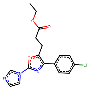 CCOC(=O)CCc1oc(-n2ccnc2)nc1-c1ccc(Cl)cc1